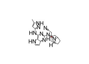 Cc1cc(Nc2nc(N[C@@H]3CC4CC[C@@H](C3)N4CCC#N)nc3cc[nH]c23)n[nH]1